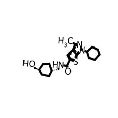 Cc1nn(C2CCCCC2)c2sc(C(=O)NC[C@H]3CC[C@H](CO)CC3)cc12